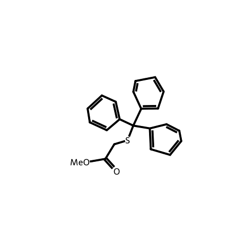 COC(=O)CSC(c1ccccc1)(c1ccccc1)c1ccccc1